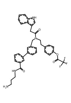 NCCCNC(=O)c1cccc(-c2cccc(CN(CCc3ccc(OC(=O)C(F)(F)F)cc3)C(=O)Cc3c[nH]c4ccccc34)c2)c1